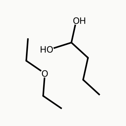 CCCC(O)O.CCOCC